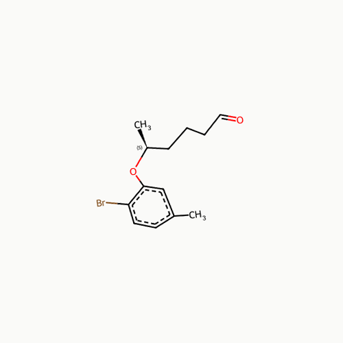 Cc1ccc(Br)c(O[C@@H](C)CCCC=O)c1